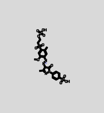 COc1cc(S(=O)(=O)CCOS(=O)(=O)O)c(C)cc1/N=N/C1C(=O)N(c2ccc(S(=O)(=O)O)cc2)N=C1C